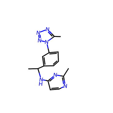 Cc1nccc(NC(C)c2cccc(-n3nnnc3C)c2)n1